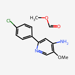 COC=O.COc1cnc(-c2ccc(Cl)cc2)cc1N